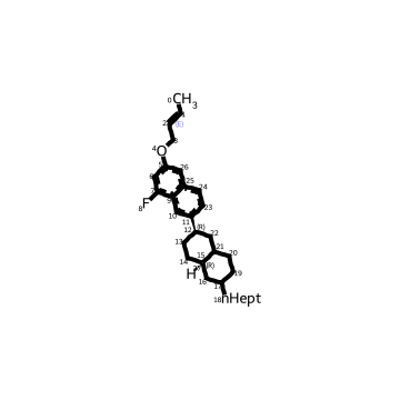 C/C=C/COc1cc(F)c2cc([C@@H]3CC[C@@H]4CC(CCCCCCC)CCC4C3)ccc2c1